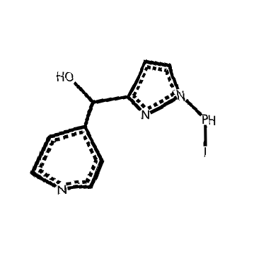 OC(c1ccncc1)c1ccn(PI)n1